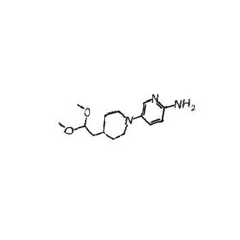 COC(CC1CCN(c2ccc(N)nc2)CC1)OC